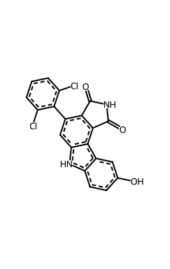 O=C1NC(=O)c2c1c(-c1c(Cl)cccc1Cl)cc1[nH]c3ccc(O)cc3c21